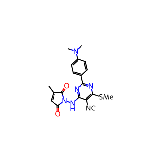 [C-]#[N+]c1c(NN2C(=O)C=C(C)C2=O)nc(-c2ccc(N(C)C)cc2)nc1SC